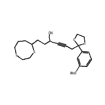 COc1cccc(C2(CC#CC(O)CCC3CCCSCCS3)SCCS2)c1